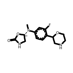 CN(c1ccc(C2CNCCO2)c(F)c1)[C@@H]1CNC(=O)O1